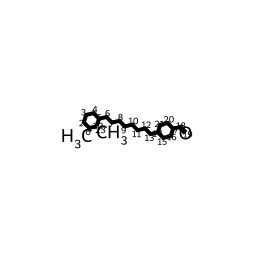 CC1CCCC(CCCCCCCCC2CCC(C=O)CC2)C1C